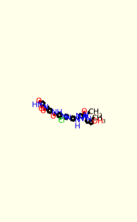 C=CCn1c(=O)c2cnc(Nc3ccc(N4CCN(c5ccc(C(=O)Nc6ccc7c(c6)CN(C6CCC(=O)NC6=O)C7=O)cc5Cl)CC4)cc3)nc2n1-c1ccc2c(n1)[C@@](O)(CC)CC2